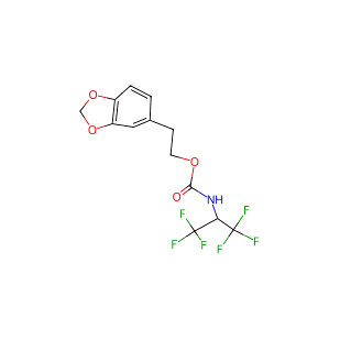 O=C(NC(C(F)(F)F)C(F)(F)F)OCCc1ccc2c(c1)OCO2